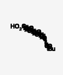 CCC(C)C(=O)OCCCCOc1ccc(C(=O)Oc2ccc(C(=O)Oc3ccc(C(=O)O)cc3)cc2)cc1